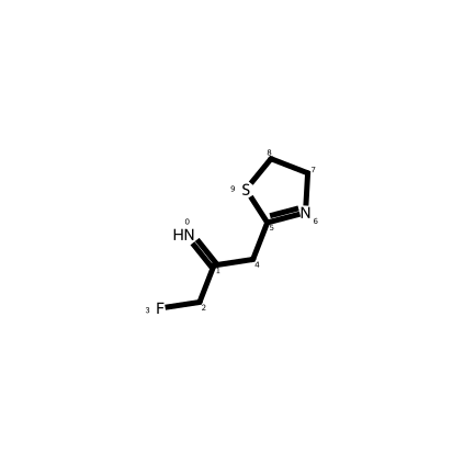 N=C(CF)CC1=NCCS1